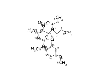 CCCN(CCC)c1nc(N(C)c2ccc(OC)cc2Cl)nc(N)c1[N+](=O)[O-]